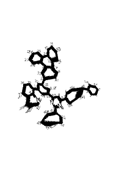 c1ccc(-c2ccc(-c3cc(-c4cc(-c5ccc6c7ccccc7c7ccccc7c6c5)cc(-c5cccc6cccnc56)c4)nc(-c4ccccc4)n3)cc2)cc1